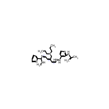 C=C(C)Nc1cc(NN\C=C/C(=C/C=N\C(NC)c2ccccn2)CN(CCC)CCC)ccn1